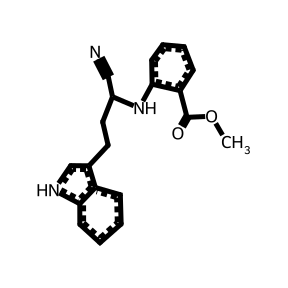 COC(=O)c1ccccc1NC(C#N)CCc1c[nH]c2ccccc12